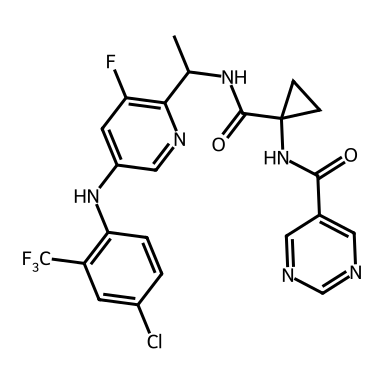 CC(NC(=O)C1(NC(=O)c2cncnc2)CC1)c1ncc(Nc2ccc(Cl)cc2C(F)(F)F)cc1F